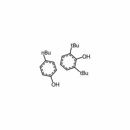 CC(C)(C)c1cccc(C(C)(C)C)c1O.CCCCc1ccc(O)cc1